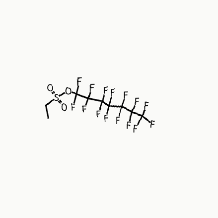 CCS(=O)(=O)OC(F)(F)C(F)(F)C(F)(F)C(F)(F)C(F)(F)C(F)(F)C(F)(F)F